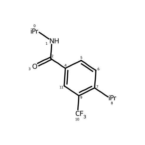 CC(C)NC(=O)c1ccc(C(C)C)c(C(F)(F)F)c1